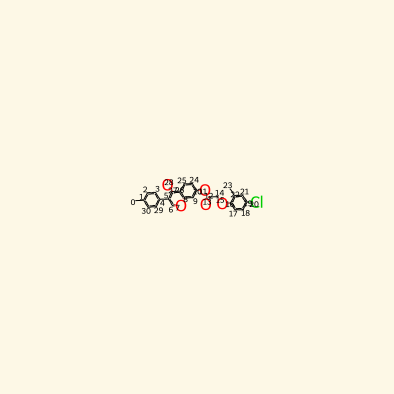 Cc1ccc(-c2coc3cc(OC(=O)COc4ccc(Cl)cc4C)ccc3c2=O)cc1